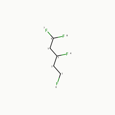 FCCC(F)CC(F)F